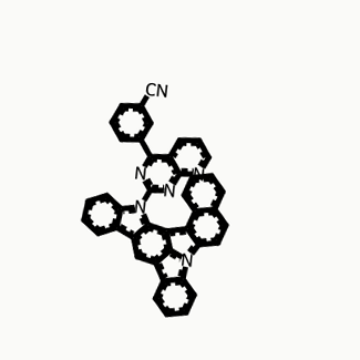 N#Cc1cccc(-c2nc(-n3c4ccccc4c4cc5c6ccccc6n6c7ccc8ccccc8c7c(c43)c56)nc3ncccc23)c1